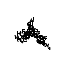 C[C@@H]1CN(c2ccc(-c3cc(CN(C)C4COC4)c(F)cc3F)cc2NC(=O)c2c[nH]c(=O)cc2C(F)(F)F)C[C@H](C)N1C